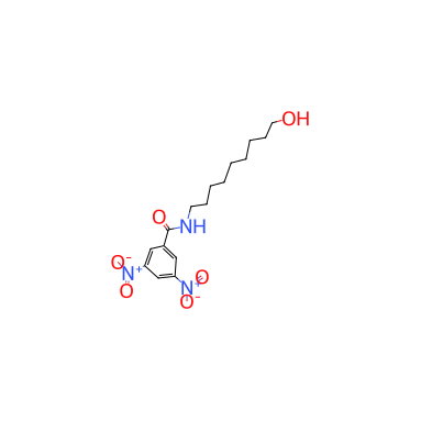 O=C(NCCCCCCCCCO)c1cc([N+](=O)[O-])cc([N+](=O)[O-])c1